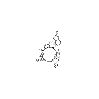 CC[C@@H]1CC/C=C/[C@H](OC2COC2)[C@@H]2CC[C@H]2CN2C[C@@]3(CCCc4cc(Cl)ccc43)COc3ccc(cc32)C(=O)NS1(=O)=O